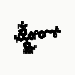 CN(C)C(=O)C=CCN1CCC[C@@H](Oc2ccc(/C(=C(/CC(F)(F)F)c3ccc(C(F)(F)F)cc3)c3ccc4[nH]nc(F)c4c3)cn2)C1